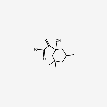 C=C(C(=O)O)C1(O)CC(C)CC(C)(C)C1